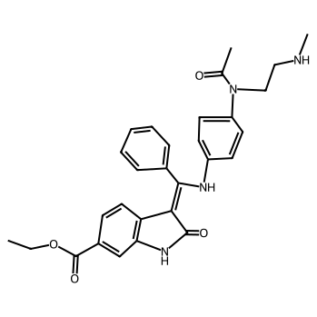 CCOC(=O)c1ccc2c(c1)NC(=O)/C2=C(\Nc1ccc(N(CCNC)C(C)=O)cc1)c1ccccc1